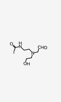 O=CCN(CCO)CCNC(=O)I